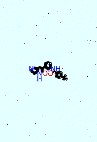 CC(C)(C)c1ccc(C(=O)Nc2cccc(-c3cc4cnccc4[nH]c3=O)c2)cc1